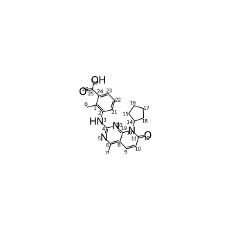 Cc1c(Nc2nc(C)c3ccc(=O)n(C4CCCC4)c3n2)cccc1C(=O)O